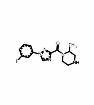 CC1CNCCN1C(=O)c1ncn(-c2cccc(F)c2)n1